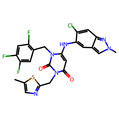 Cc1cnc(Cn2c(=O)cc(Nc3cc4cn(C)nc4cc3Cl)n(Cc3cc(F)c(F)cc3F)c2=O)s1